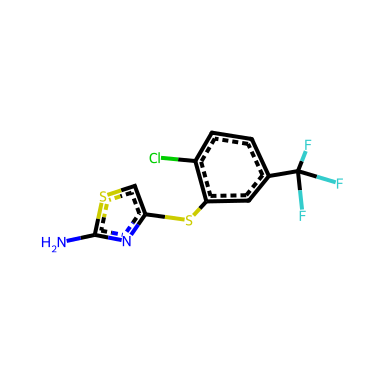 Nc1nc(Sc2cc(C(F)(F)F)ccc2Cl)cs1